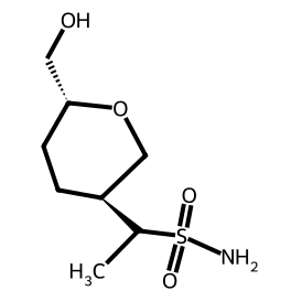 CC([C@H]1CC[C@H](CO)OC1)S(N)(=O)=O